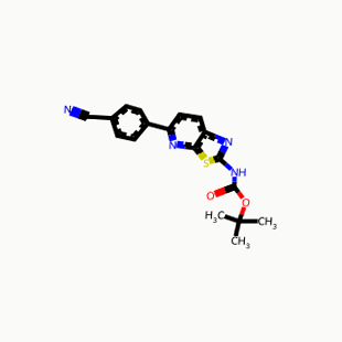 CC(C)(C)OC(=O)Nc1nc2ccc(-c3ccc(C#N)cc3)nc2s1